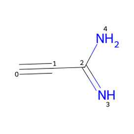 C#CC(=N)N